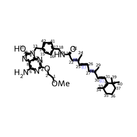 COCCOc1nc(N)c2nc(O)n(Cc3ccc(CNC(=O)/C=C(C)/C=C/C=C(C)/C=C/C4=C(C)CCCC4(C)C)cc3)c2n1